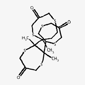 CC1(C2(C)SCC(=O)CSC2(C)C2CSCC(=O)CS2)CCSCC(=O)CS1